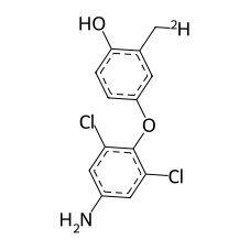 [2H]Cc1cc(Oc2c(Cl)cc(N)cc2Cl)ccc1O